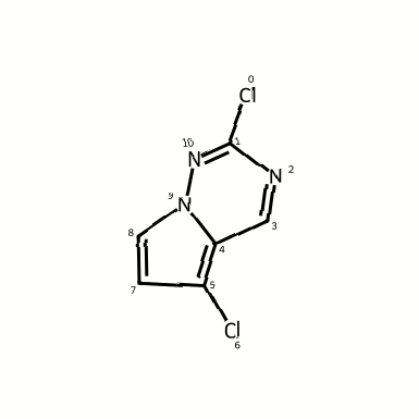 Clc1ncc2c(Cl)ccn2n1